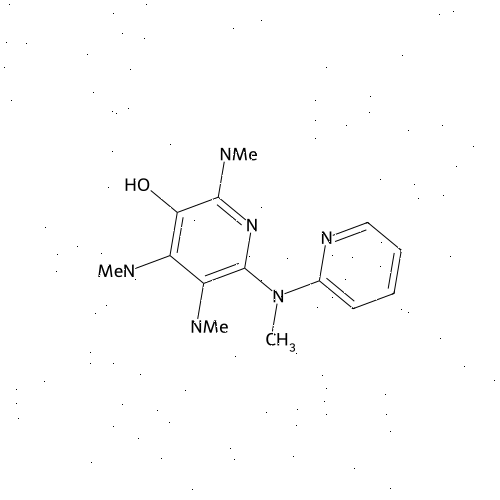 CNc1nc(N(C)c2ccccn2)c(NC)c(NC)c1O